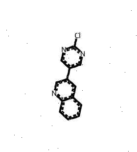 Clc1n[c]c(-c2cnc3ccccc3c2)cn1